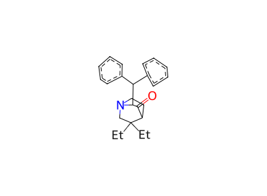 CCC1(CC)CN2CCC1C(=O)C2C(c1ccccc1)c1ccccc1